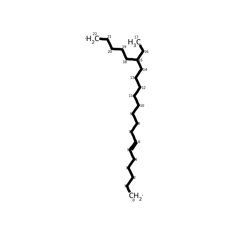 [CH2]CCCCC=CCCCCCCCCC(CC)CCCC[CH2]